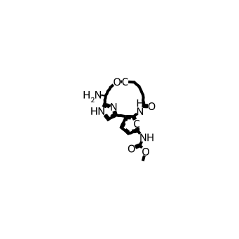 COC(=O)Nc1ccc2c(c1)NC(=O)CCCCOC[C@H](N)c1nc-2c[nH]1